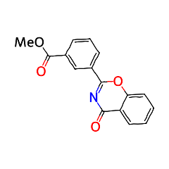 COC(=O)c1cccc(-c2nc(=O)c3ccccc3o2)c1